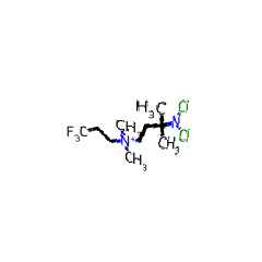 CC(C)(CC[N+](C)(C)CCC(F)(F)F)N(Cl)Cl